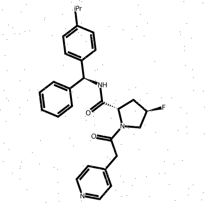 CC(C)c1ccc([C@@H](NC(=O)[C@@H]2C[C@@H](F)CN2C(=O)Cc2ccncc2)c2ccccc2)cc1